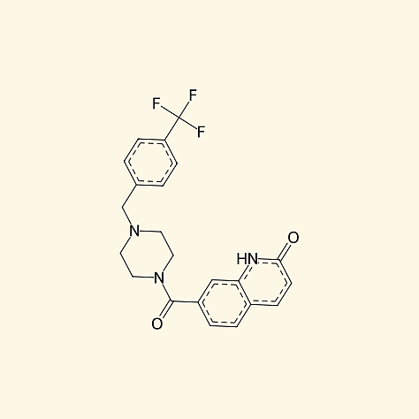 O=C(c1ccc2ccc(=O)[nH]c2c1)N1CCN(Cc2ccc(C(F)(F)F)cc2)CC1